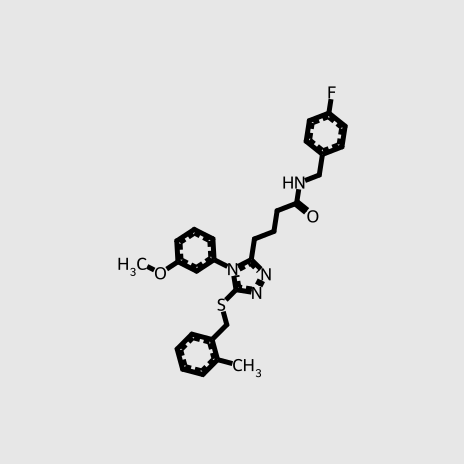 COc1cccc(-n2c(CCCC(=O)NCc3ccc(F)cc3)nnc2SCc2ccccc2C)c1